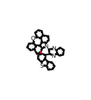 c1ccc2nc(-n3c4ccc5cccc6oc7cccc8ccc3c(c87)c4c56)c(-c3cccc4sc5ccccc5c34)nc2c1